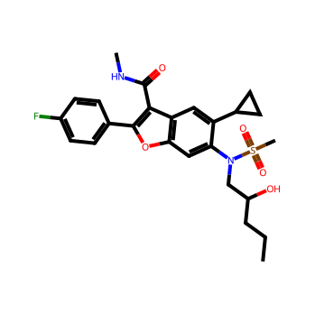 CCCC(O)CN(c1cc2oc(-c3ccc(F)cc3)c(C(=O)NC)c2cc1C1CC1)S(C)(=O)=O